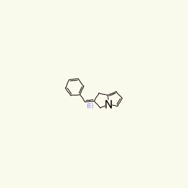 C(=C1/Cc2cccn2C1)/c1ccccc1